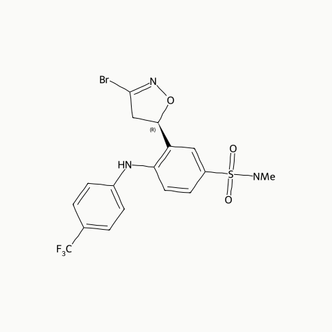 CNS(=O)(=O)c1ccc(Nc2ccc(C(F)(F)F)cc2)c([C@H]2CC(Br)=NO2)c1